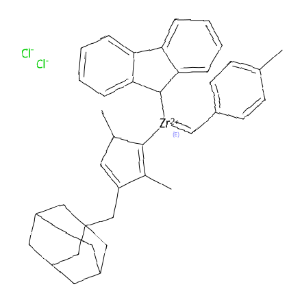 CC1=[C](/[Zr+2](=[CH]/c2ccc(C)cc2)[CH]2c3ccccc3-c3ccccc32)C(C)C=C1CC12CC3CC(CC(C3)C1)C2.[Cl-].[Cl-]